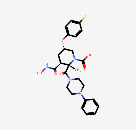 C[C@@]1(C(=O)N2CCN(c3ccccc3)CC2)[C@@H](C(=O)NO)C[C@H](Oc2ccc(F)cc2)CN1C(=O)O